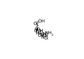 CCOc1nc(N)nc2c1ncn2[C@@H]1O[C@@H]2CO[P@](=O)(OCCSC(=O)C(C)(C)CO)O[C@H]2[C@@]1(C)O